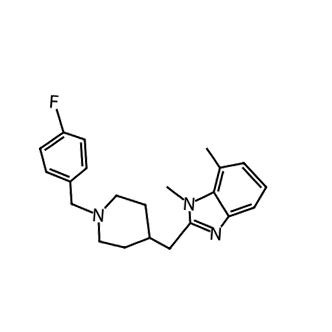 Cc1cccc2nc(CC3CCN(Cc4ccc(F)cc4)CC3)n(C)c12